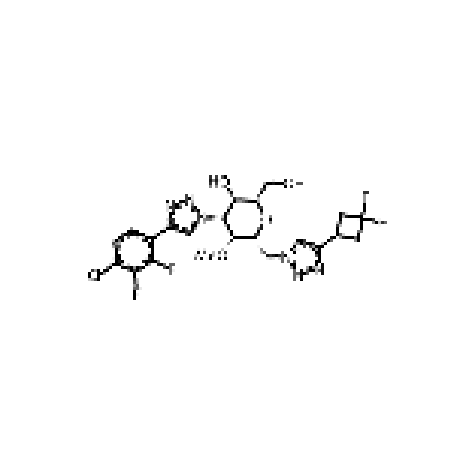 CO[C@@H]1[C@@H](n2cc(-c3ccc(Cl)c(F)c3F)nn2)[C@@H](O)[C@@H](CO)O[C@@H]1Cn1cc(C2CC(F)(F)C2)nn1